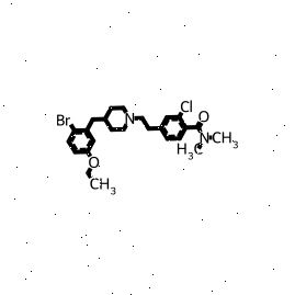 CCOc1ccc(Br)c(CC2CCN(CCc3ccc(C(=O)N(C)C)c(Cl)c3)CC2)c1